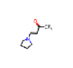 O=C(/C=C/N1CCCC1)C(F)(F)F